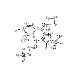 Cc1c(S(C)(=O)=O)nc(C(OC2(C)CCC2)c2ccc(F)c(Cl)c2)n1COCC[Si](C)(C)C